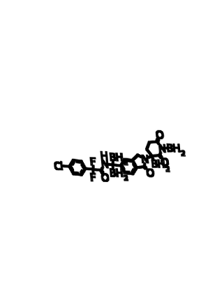 BN1C(=O)CCC(B)(N2Cc3cc(C(B)(B)NC(=O)C(F)(F)c4ccc(Cl)cc4)ccc3C2=O)C1=O